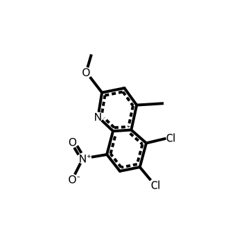 COc1cc(C)c2c(Cl)c(Cl)cc([N+](=O)[O-])c2n1